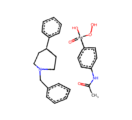 CC(=O)Nc1ccc([As](=O)(O)OO)cc1.c1ccc(CN2CCC(c3ccccc3)CC2)cc1